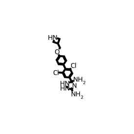 NC1=NC(N)(c2cc(Cl)c(-c3ccc(OCC4CNC4)cc3)c(Cl)c2)NN1